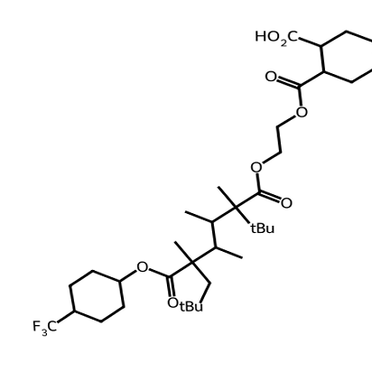 CC(C(C)C(C)(C(=O)OCCOC(=O)C1CCCCC1C(=O)O)C(C)(C)C)C(C)(CC(C)(C)C)C(=O)OC1CCC(C(F)(F)F)CC1